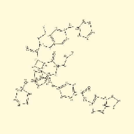 CCCN(Cc1ccc(Oc2ccccc2)cc1)C(=O)C1CC(C(=O)OCc2ccc(C(=O)Oc3ccc4c(c3)CCC4)cc2)C1C(=O)N(CCC)Cc1ccc(Oc2ccccc2)cc1